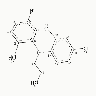 OCCC(c1cc(Br)ccc1O)c1ccc(Cl)cc1Cl